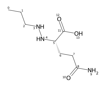 CCCNN[C@@H](CCC(N)=O)C(=O)O